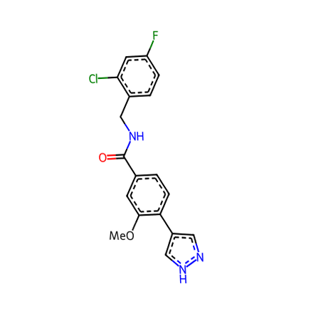 COc1cc(C(=O)NCc2ccc(F)cc2Cl)ccc1-c1cn[nH]c1